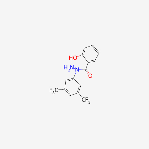 NN(C(=O)c1ccccc1O)c1cc(C(F)(F)F)cc(C(F)(F)F)c1